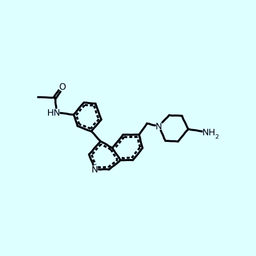 CC(=O)Nc1cccc(-c2cncc3ccc(CN4CCC(N)CC4)cc23)c1